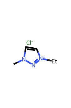 CC[n+]1ccn(C)n1.[Cl-]